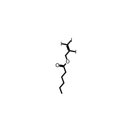 CCCCCC(=O)OCC(I)=C(I)I